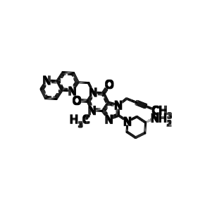 CC#CCn1c(N2CCC[C@@H](N)C2)nc2c1c(=O)n(Cc1ccc3ncccc3n1)c(=O)n2C